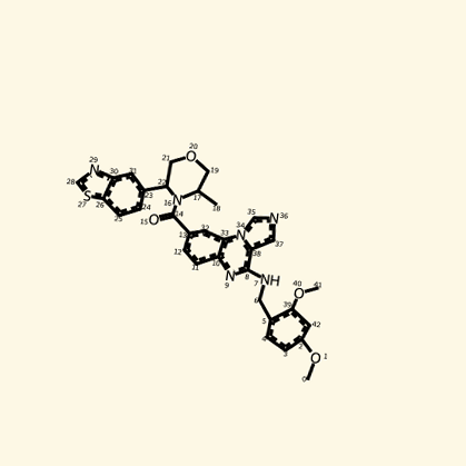 COc1ccc(CNc2nc3ccc(C(=O)N4C(C)COCC4c4ccc5scnc5c4)cc3n3cncc23)c(OC)c1